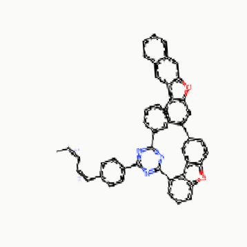 C/C=C\C=C/c1ccc(-c2nc(-c3ccccc3)nc(-c3cccc4oc5ccc(-c6ccc7c(c6)oc6cc8ccccc8cc67)cc5c34)n2)cc1